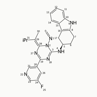 C=NN1C(N[C@@H]2CCc3[nH]c4ccccc4c3C2)=NC(c2cncc(F)c2)=N/C1=C(/C)C(C)C